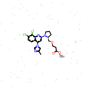 Cc1cn(-c2cc(N3CCC[C@H]3COCCC(=O)OC(C)(C)C)nc3c(Cl)c(Cl)ccc23)cn1